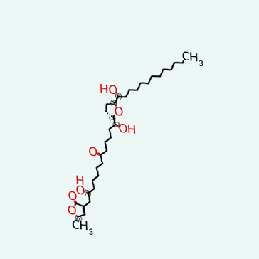 CCCCCCCCCCCC[C@H](O)[C@@H]1CC[C@@H]([C@@H](O)CCCCC(=O)CCCCC[C@@H](O)CC2=C[C@H](C)OC2=O)O1